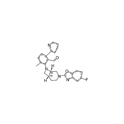 Cc1ccc(-c2ccccn2)c(C=O)c1N1C[C@H]2CCN(c3nc4cc(F)ccc4o3)C[C@H]21